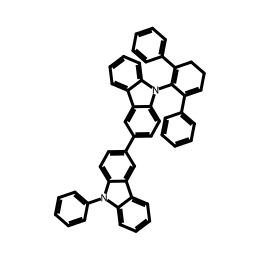 C1=C(c2ccccc2)C(n2c3ccccc3c3cc(-c4ccc5c(c4)c4ccccc4n5-c4ccccc4)ccc32)=C(c2ccccc2)CC1